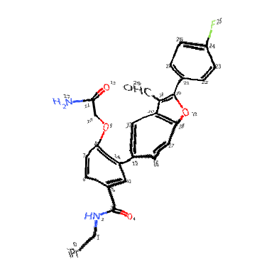 CC(C)CNC(=O)c1ccc(OCC(N)=O)c(-c2ccc3oc(-c4ccc(F)cc4)c(C=O)c3c2)c1